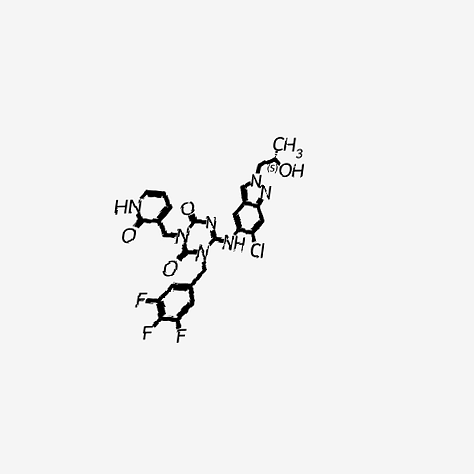 C[C@H](O)Cn1cc2cc(Nc3nc(=O)n(Cc4ccc[nH]c4=O)c(=O)n3Cc3cc(F)c(F)c(F)c3)c(Cl)cc2n1